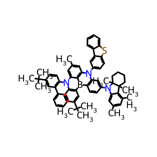 Cc1cc2c3c(c1)N(c1ccc(C(C)(C)C)cc1-c1ccccc1)c1ccc(C(C)(C)C)cc1B3c1ccc(N3c4cc(C)cc(C)c4C4(C)CCCCC34C)cc1N2c1ccc2sc3ccccc3c2c1